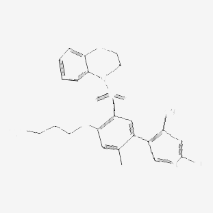 N#Cc1cc(C(F)(F)F)ncc1-c1cc(S(=O)(=O)N2CCSc3ccccc32)c(OCCCC(=O)O)cc1Cl